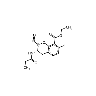 CCOC(=O)c1c(F)ccc2c1OB(N=O)[C@@H](NC(=O)CC)C2